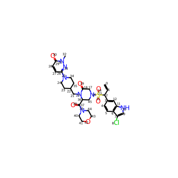 C=CC(c1ccc2c(Cl)c[nH]c2c1)S(=O)(=O)N1CC(=O)N(CC2CCN(c3ccc(=O)n(C)n3)CC2)C(C(=O)N2CCOCC2)C1